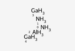 N.N.[AlH3].[GaH3].[GaH3]